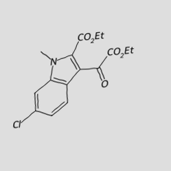 CCOC(=O)C(=O)c1c(C(=O)OCC)n(C)c2cc(Cl)ccc12